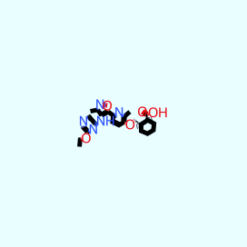 CCOc1cncc(Nc2c(C)noc2-c2ccc(OC[C@H]3CCCC[C@@H]3C(=O)O)c(C)n2)n1